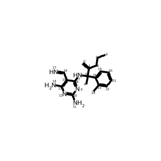 C=C(CCC)C(C)(Nc1nc(N)nc(N)c1C=N)c1ccccc1C